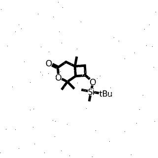 CC12CC(=O)OC(C)(C)C1C(O[Si](C)(C)C(C)(C)C)C2